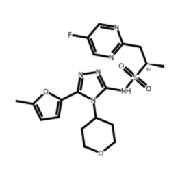 Cc1ccc(-c2nnc(NS(=O)(=O)[C@H](C)Cc3ncc(F)cn3)n2C2CCOCC2)o1